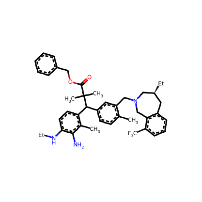 CCNc1ccc(C(c2ccc(C)c(CN3Cc4c(cccc4C(F)(F)F)C[C@H](CC)C3)c2)C(C)(C)C(=O)OCc2ccccc2)c(C)c1N